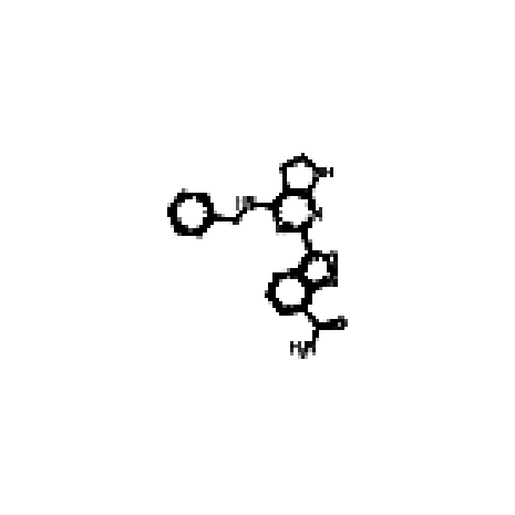 NC(=O)c1cccc2c(-c3nc4c(c(NCc5ccccc5)n3)CCN4)onc12